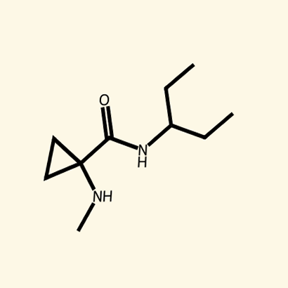 CCC(CC)NC(=O)C1(NC)CC1